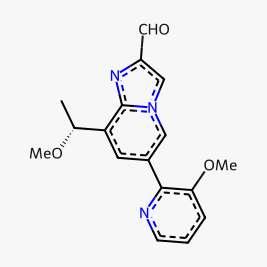 COc1cccnc1-c1cc([C@@H](C)OC)c2nc(C=O)cn2c1